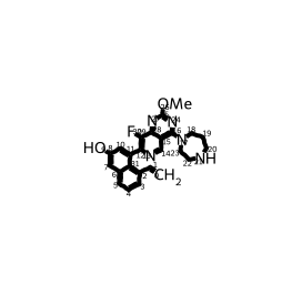 C=Cc1cccc2cc(O)cc(-c3ncc4c(N5CCCNCC5)nc(OC)nc4c3F)c12